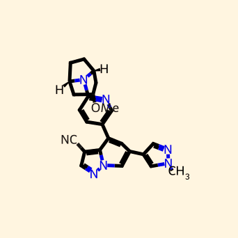 COC1C[C@H]2CC[C@@H](C1)N2c1ccc(-c2cc(-c3cnn(C)c3)cn3ncc(C#N)c23)cn1